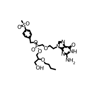 CCCCOC(CO)COP(=O)(COCCn1cnc2c(=O)[nH]c(N)nc21)OCc1ccc(S(C)(=O)=O)cc1